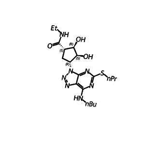 CCCCNc1nc(SCCC)nc2c1nnn2[C@@H]1C[C@H](C(=O)NCC)[C@@H](O)[C@H]1O